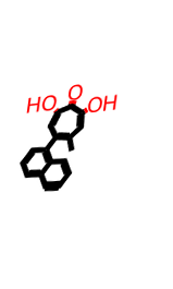 Cc1cc(O)c(=O)c(O)cc1-c1cccc2c#cccc12